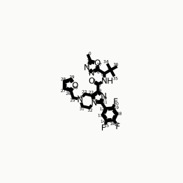 Cc1nnc(C(NC(=O)c2nc(-c3cc(F)c(F)cc3F)n3c2CN(Cc2ccco2)CC3)C(C)(C)C)o1